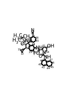 CC(C)(C)[S@@+]([O-])NC(CCC1CC1)(c1cccc(C#N)c1)c1ccc(F)c(NC(=O)[C@H]2C[C@@H](O)CN2C(=O)Nc2cccc3ccccc23)c1